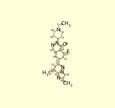 CCN1CCC(n2ncc3cc(-c4cc(C)c5nc(C)cn5n4)cc(F)c3c2=O)CC1